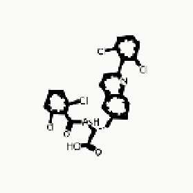 O=C([AsH][C@H](Cc1ccc2nc(-c3c(Cl)cccc3Cl)ccc2c1)C(=O)O)c1c(Cl)cccc1Cl